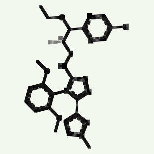 CCOC(c1ncc(Cl)cn1)[C@@H](C)SNc1nnc(-c2ccn(C)n2)n1-c1c(OC)cccc1OC